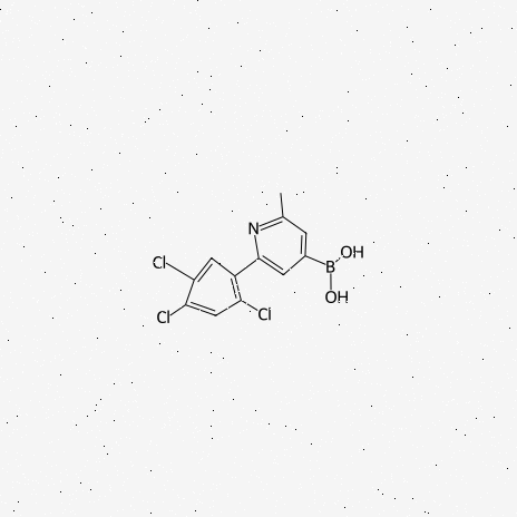 Cc1cc(B(O)O)cc(-c2cc(Cl)c(Cl)cc2Cl)n1